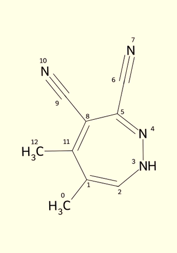 CC1=CNN=C(C#N)C(C#N)=C1C